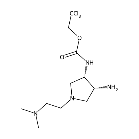 CN(C)CCN1C[C@@H](N)[C@@H](NC(=O)OCC(Cl)(Cl)Cl)C1